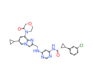 O=C(Nc1cc(NCc2cn3cc(C4CC4)cc(N4CCOCC4=O)c3n2)ncn1)[C@@H]1C[C@H]1c1cccc(Cl)c1